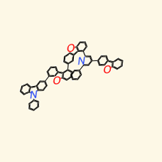 c1ccc(-c2cc(-c3ccc4c(c3)oc3ccccc34)cc(-c3cccc4oc5ccc(-c6cccc7oc8c(-c9ccc%10c(c9)c9ccccc9n%10-c9ccccc9)cccc8c67)cc5c34)n2)cc1